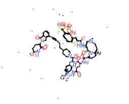 CN1CC[C@H]2CC[C@@H](C(=O)N[C@@H](CCC(N)=O)C(=O)N[C@@H](Cc3ccc(C(F)(F)F)cc3)C(=O)N3CCC(CCC#Cc4cccc5c4CN(C4CCC(=O)NC4=O)C5=O)CC3)N2C(=O)[C@@H](NC(=O)c2cc3cc(C(F)(F)P(=O)(O)O)ccc3s2)C1